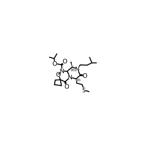 CSCC[C@@H]1C(=O)N(CCC(C)C)[C@H](C)C2N(C(=O)OC(C)C)OC3(CCC3)C(=O)N21